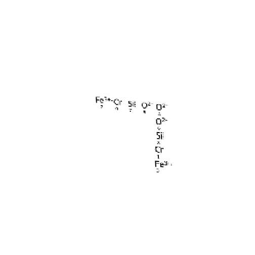 [Cr].[Cr].[Fe+3].[Fe+3].[O-2].[O-2].[O-2].[Si].[Si]